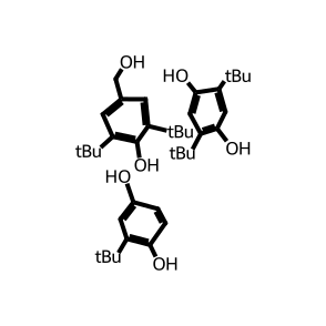 CC(C)(C)c1cc(CO)cc(C(C)(C)C)c1O.CC(C)(C)c1cc(O)c(C(C)(C)C)cc1O.CC(C)(C)c1cc(O)ccc1O